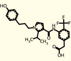 CC(C)c1c(C(=O)Nc2cc(CC(=O)O)ccc2C(F)(F)F)ccn1CCCc1ccc(O)cc1